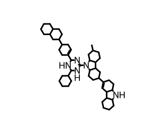 CC1CCC2C3CC(C4=CC5C(CC4)NC4CCCCC45)CCC3N(C3=NC(C4=CCC(C5CCC6CCCCC6C5)CC4)NC(C4CCCCC4)N3)C2C1